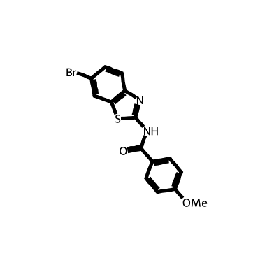 COc1ccc(C(=O)Nc2nc3ccc(Br)cc3s2)cc1